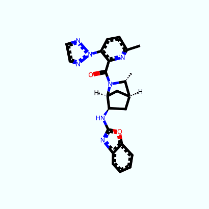 Cc1ccc(-n2nccn2)c(C(=O)N2[C@H](C)[C@H]3C[C@@H](Nc4nc5ccccc5o4)[C@@H]2C3)n1